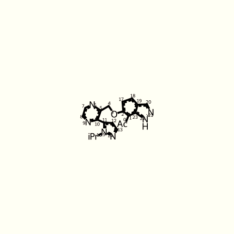 CC(=O)c1c(OCc2nccnc2-c2ccnn2C(C)C)ccc2cn[nH]c12